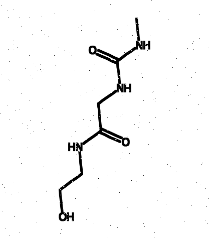 CNC(=O)NCC(=O)NCCO